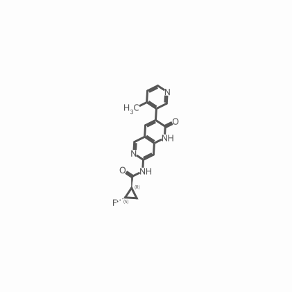 Cc1ccncc1-c1cc2cnc(NC(=O)[C@H]3C[C@@H]3F)cc2[nH]c1=O